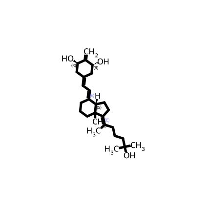 C=C1[C@H](O)CC(=C/C=C2\CCCC3(C)/C(=C(\C)CCCC(C)(C)O)CC[C@@H]23)C[C@H]1O